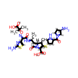 C[C@@H](NC(=O)/C(=N\OC(C)(C)C(=O)O)c1csc(N)n1)[C@H]1C(=O)N2C(C(=O)O)=C(S[C@@H]3CNC(C(=O)N4CC[C@@H](N)C4)C3)[C@H](C)[C@H]12